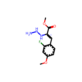 COC(=O)/C(=C/c1ccc(OC)cc1F)NNN